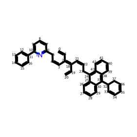 C=CC(/C=C\Cc1cccc(-c2ccccc2)n1)=C(C=C)\C=C/Cc1c2ccccc2c(C2C=CC=CC2)c2ccccc12